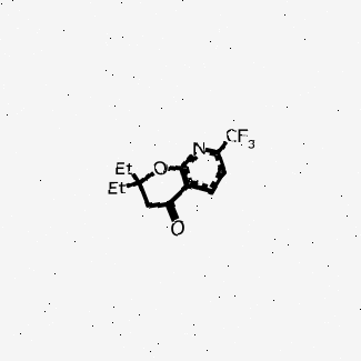 CCC1(CC)CC(=O)c2ccc(C(F)(F)F)nc2O1